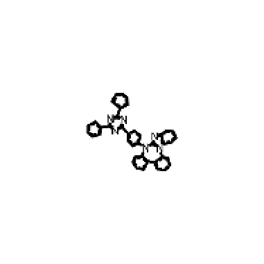 c1ccc(-c2nc(-c3ccccc3)nc(-c3ccc(N4c5ccccc5-c5ccccc5-n5c4nc4ccccc45)cc3)n2)cc1